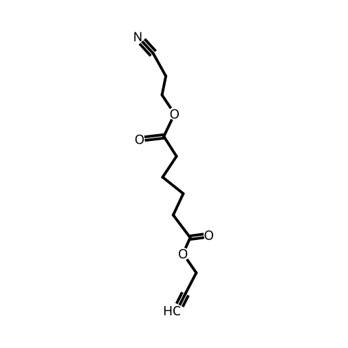 C#CCOC(=O)CCCCC(=O)OCCC#N